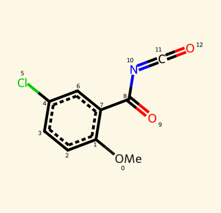 COc1ccc(Cl)cc1C(=O)N=C=O